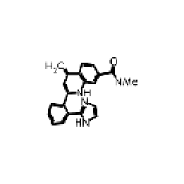 C=C1C=C(c2ccccc2-c2ncc[nH]2)Nc2cc(C(=O)NC)ccc21